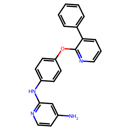 Nc1ccnc(Nc2ccc(Oc3ncccc3-c3ccccc3)cc2)c1